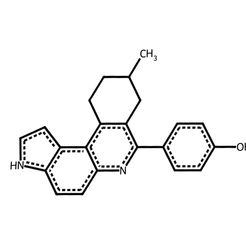 CC1CCc2c(c(-c3ccc(O)cc3)nc3ccc4[nH]ccc4c23)C1